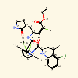 CCOC(=O)/C(F)=C\[C@H](C[C@H]1CCNC1=O)NC(=O)[C@@H]1[C@H]2CC[C@H](CC2(F)F)N1C(=O)[C@@H](CC(C)C)Nc1cccc(Cl)c1